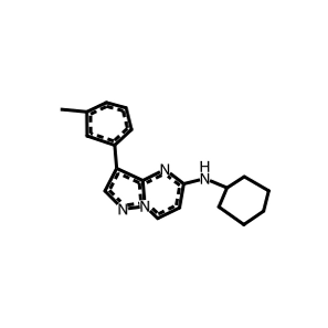 Cc1cccc(-c2cnn3ccc(NC4CCCCC4)nc23)c1